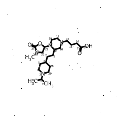 CC(C)N1CCC(CCC2CN(CCCC(=O)O)CCN2C2CN(C)C(=O)O2)CC1